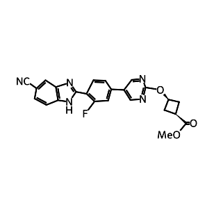 COC(=O)[C@H]1C[C@@H](Oc2ncc(-c3ccc(-c4nc5cc(C#N)ccc5[nH]4)c(F)c3)cn2)C1